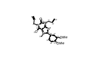 C#CCn1c(=O)c2c(nc(-c3ccc(OC)c(OC)c3)n2C)n(CC=C)c1=O